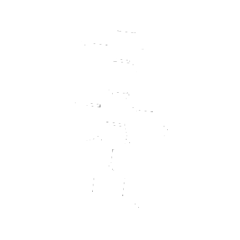 CCn1c(N2CCCC(N)C2)nc2c1c(=O)n(Cc1ncccc1C#N)c(=O)n2CC#N